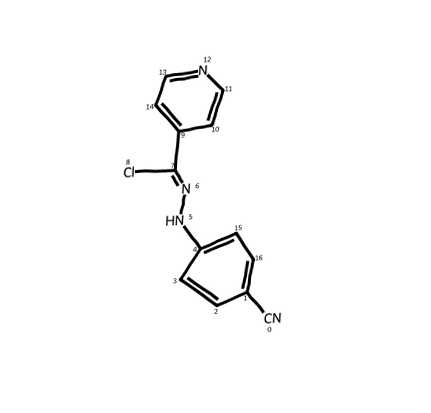 N#Cc1ccc(NN=C(Cl)c2ccncc2)cc1